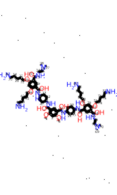 COc1cc(OC)c(C(O)NC2CCC(N[C@H](O)c3cc(C(O)NCCN(C)C)c(OCCCCCN)cc3OCCCCCN)CC2)cc1C(O)NC1CCC(N[C@@H](O)C2C=C([C@@H](O)NCCN(C)C)C(OCCCCCN)=CC2OCCCCCN)CC1